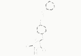 O=C1NC(=O)C(=Cc2ccc(CCSc3ccccc3)cc2)S1